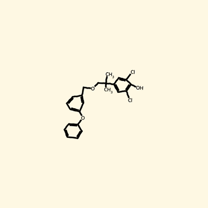 CC(C)(COCc1cccc(Oc2ccccc2)c1)c1cc(Cl)c(O)c(Cl)c1